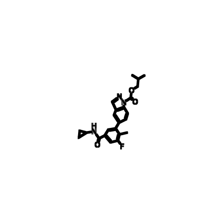 Cc1c(F)cc(C(=O)NC2CC2)cc1-c1ccc2c(cnn2C(=O)OCC(C)C)c1